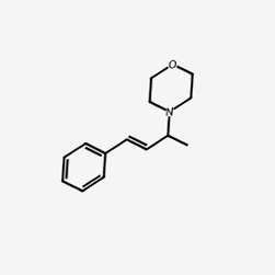 CC(C=Cc1ccccc1)N1CCOCC1